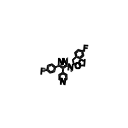 CN(C(=O)Cc1ccc(F)cc1Cl)c1c(-c2ccncc2)c(-c2ccc(F)cc2)nn1C